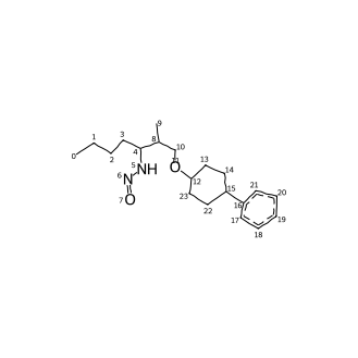 CCCCC(NN=O)C(C)COC1CCC(c2ccccc2)CC1